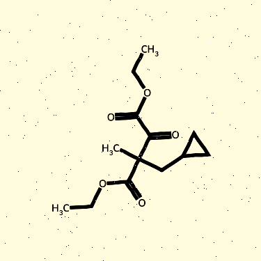 CCOC(=O)C(=O)C(C)(CC1CC1)C(=O)OCC